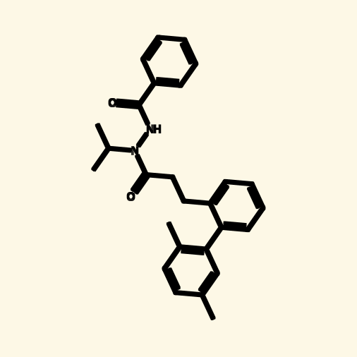 Cc1ccc(C)c(-c2ccccc2CCC(=O)N(NC(=O)c2ccccc2)C(C)C)c1